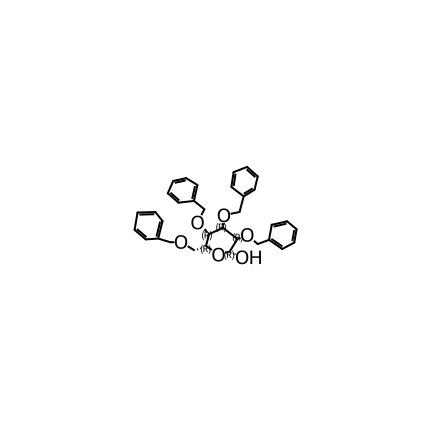 O[C@@H]1O[C@H](COCc2ccccc2)[C@@H](OCc2ccccc2)[C@@H](OCc2ccccc2)[C@H]1OCc1ccccc1